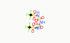 O=S(=O)(NS(=O)(=O)NS(=O)(=O)C(F)(F)F)NS(=O)(=O)C(F)(F)F